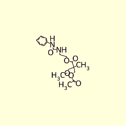 COCC(C)(COC(C)=O)C(=O)OCCNC(=O)Nc1ccccc1